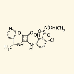 CC(Nc1c(Nc2ccc(Cl)c(S(=O)(=O)N(C)O)c2O)c(=O)c1=O)c1ccncc1